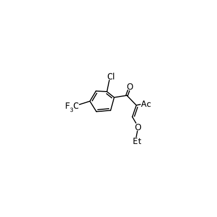 CCOC=C(C(C)=O)C(=O)c1ccc(C(F)(F)F)cc1Cl